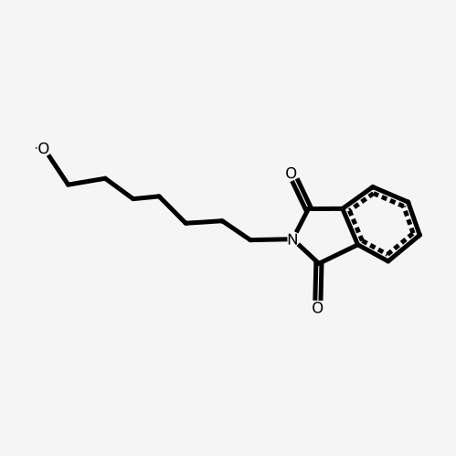 [O]CCCCCCCN1C(=O)c2ccccc2C1=O